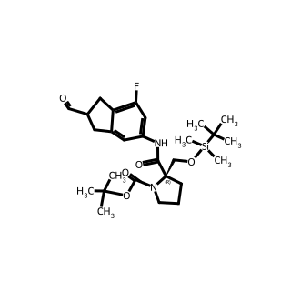 CC(C)(C)OC(=O)N1CCC[C@@]1(CO[Si](C)(C)C(C)(C)C)C(=O)Nc1cc(F)c2c(c1)CC(C=O)C2